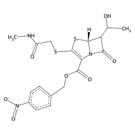 CNC(=O)CSC1=C(C(=O)OCc2ccc([N+](=O)[O-])cc2)N2C(=O)C(C(C)O)[C@H]2S1